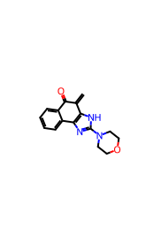 C=C1C(=O)c2ccccc2-c2nc(N3CCOCC3)[nH]c21